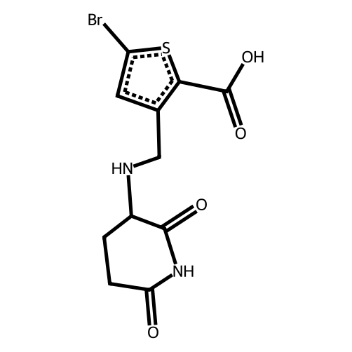 O=C1CCC(NCc2cc(Br)sc2C(=O)O)C(=O)N1